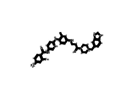 Cc1cc(NCCC(=O)N2CCN(Cc3ccc4c(c3)OCO4)CC2)ccc1Oc1ccc(NC(=O)c2ccc(C(F)(F)F)cc2F)cn1